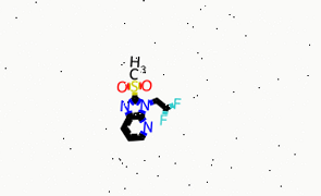 CS(=O)(=O)c1nc2cccnc2n1CC(F)F